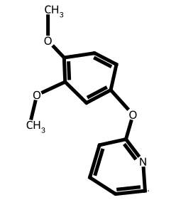 COc1ccc(Oc2ccc[c]n2)cc1OC